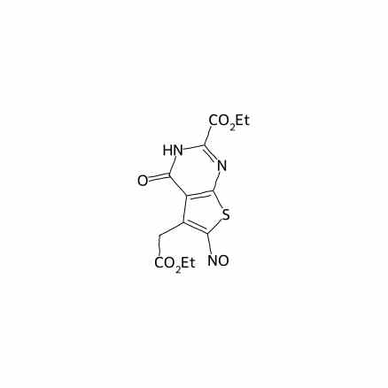 CCOC(=O)Cc1c(N=O)sc2nc(C(=O)OCC)[nH]c(=O)c12